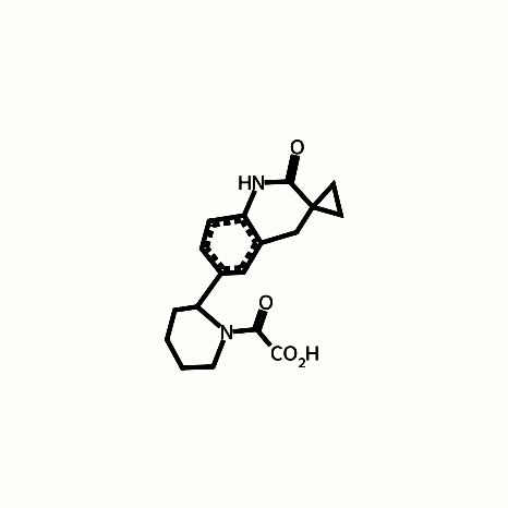 O=C(O)C(=O)N1CCCCC1c1ccc2c(c1)CC1(CC1)C(=O)N2